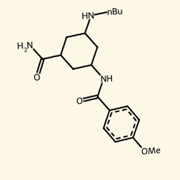 CCCCNC1CC(NC(=O)c2ccc(OC)cc2)CC(C(N)=O)C1